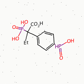 CCC(C(=O)O)(c1[c]cc([PH](=O)O)cc1)P(=O)(O)O